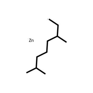 [CH2]CC(C)CCCC(C)C.[Zn]